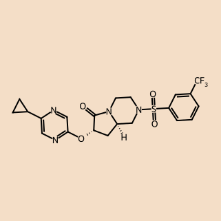 O=C1[C@@H](Oc2cnc(C3CC3)cn2)C[C@@H]2CN(S(=O)(=O)c3cccc(C(F)(F)F)c3)CCN12